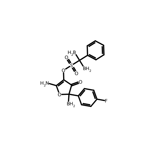 BC1(c2ccc(F)cc2)OC(N)=C(OS(=O)(=O)C(B)(B)c2ccccc2)C1=O